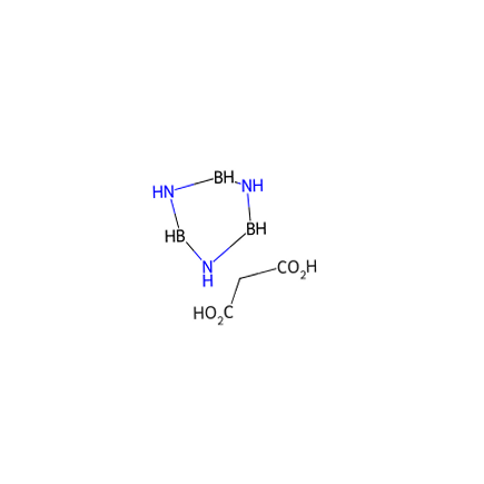 B1NBNBN1.O=C(O)CC(=O)O